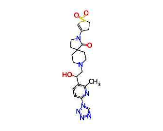 Cc1nc(-n2cnnn2)ccc1C(O)CN1CCC2(CC1)CCN(C1=CS(=O)(=O)CC1)C2=O